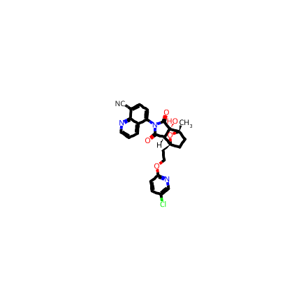 C[C@@]12CC[C@@](CCOc3ccc(Cl)cn3)(O1)[C@H]1C(=O)N(c3ccc(C#N)c4ncccc34)C(=O)[C@]12O